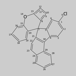 Clc1ccc2c(c1)C1(c3ccccc3Oc3ccccc31)c1ccc3ccccc3c1-2